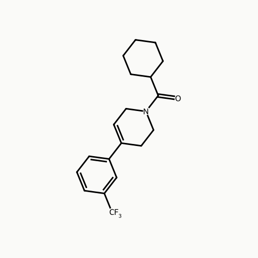 O=C(C1CCCCC1)N1CC=C(c2cccc(C(F)(F)F)c2)CC1